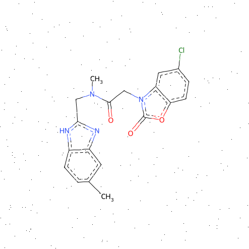 Cc1ccc2[nH]c(CN(C)C(=O)Cn3c(=O)oc4ccc(Cl)cc43)nc2c1